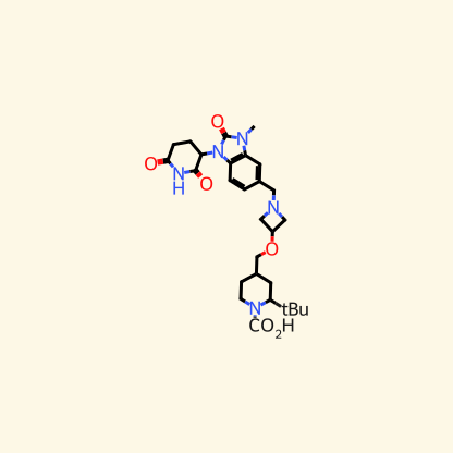 Cn1c(=O)n(C2CCC(=O)NC2=O)c2ccc(CN3CC(OCC4CCN(C(=O)O)C(C(C)(C)C)C4)C3)cc21